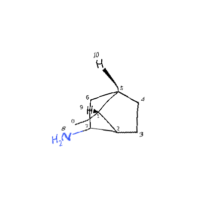 C[C@H]1C2CC[C@H]1CC2N